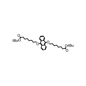 CC(C)(C)OC(=O)CCCCCCCOc1c2ccccc2c(OCCCCCCCC(=O)OC(C)(C)C)c2ccccc12